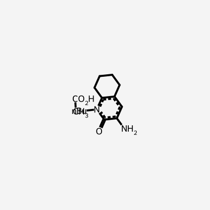 CC(=O)O.CCCCn1c2c(cc(N)c1=O)CCCC2